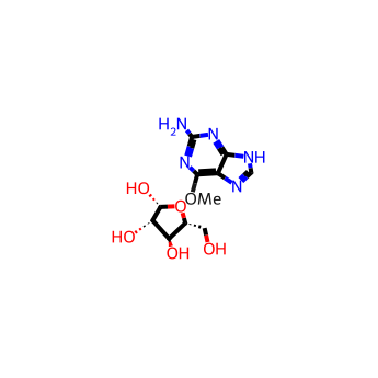 COc1nc(N)nc2[nH]cnc12.OC[C@H]1O[C@@H](O)[C@@H](O)[C@@H]1O